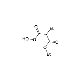 CCOC(=O)C(CC)C(=O)OO